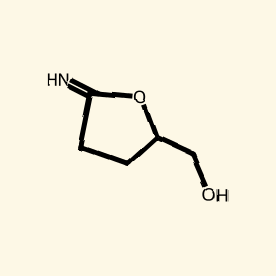 N=C1CCC(CO)O1